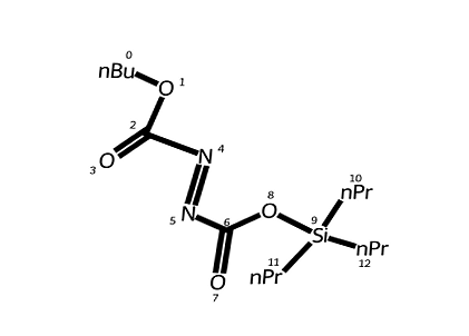 CCCCOC(=O)N=NC(=O)O[Si](CCC)(CCC)CCC